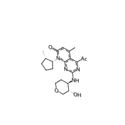 CC(=O)c1nc(N[C@@H]2CCOC[C@H]2O)nc2c1c(C)cc(=O)n2[C@@H]1CCC[C@@H]1C